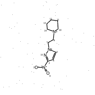 O=[N+]([O-])c1ccn(CCN2CCCCC2)n1